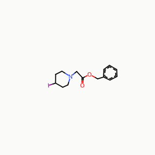 O=C(CN1CCC(I)CC1)OCc1ccccc1